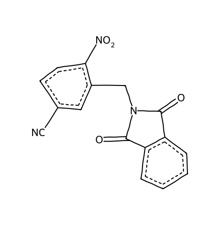 N#Cc1ccc([N+](=O)[O-])c(CN2C(=O)c3ccccc3C2=O)c1